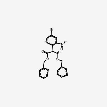 O=C(OCc1ccccc1)C(C(=O)OCc1ccccc1)c1ncc(Br)cc1[N+](=O)[O-]